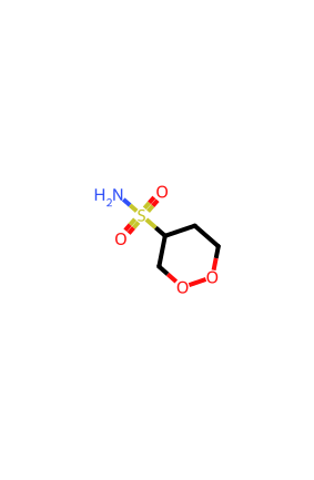 NS(=O)(=O)C1CCOOC1